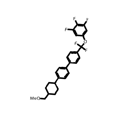 COCC1CCC(c2ccc(-c3ccc(C(F)(F)Oc4cc(F)c(F)c(F)c4)cc3)cc2)CC1